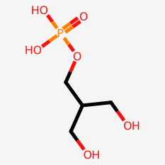 O=P(O)(O)OCC(CO)CO